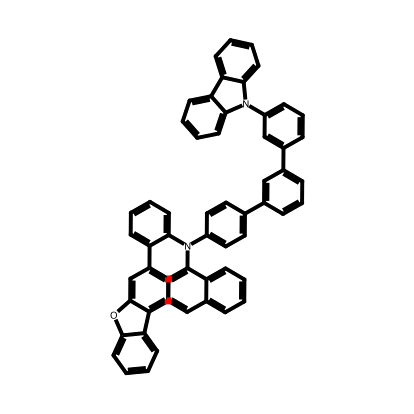 c1cc(-c2ccc(N(c3ccccc3-c3ccc4c(c3)oc3ccccc34)c3cccc4ccccc34)cc2)cc(-c2cccc(-n3c4ccccc4c4ccccc43)c2)c1